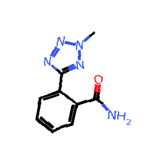 Cn1nnc(-c2ccccc2C(N)=O)n1